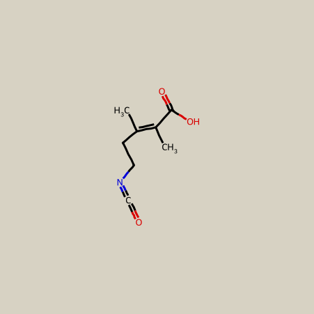 CC(CCN=C=O)=C(C)C(=O)O